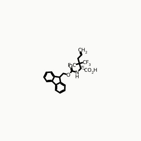 C=CCC([C@@H](NC(=O)OCC1c2ccccc2-c2ccccc21)C(=O)O)(C(F)(F)F)C(F)(F)F